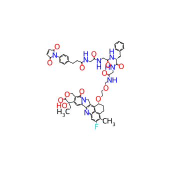 CC[C@@]1(O)C(=O)OCc2c1cc1n(c2=O)Cc2c-1nc1cc(F)c(C)c3c1c2[C@H](OCCOCNC(=O)CNC(=O)[C@H](Cc1ccccc1)NC(=O)CNC(=O)CNC(=O)CCc1ccc(N2C(=O)C=CC2=O)cc1)CC3